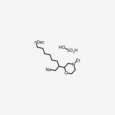 CCCCCCCCCCCCCCCCC([CH2][Na])C1CN(CC)CCO1.O=S(=O)(O)O